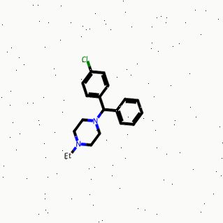 [CH2]CN1CCN(C(c2ccccc2)c2ccc(Cl)cc2)CC1